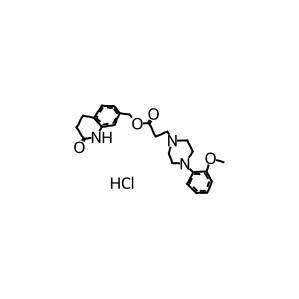 COc1ccccc1N1CCN(CCC(=O)OCc2ccc3c(c2)NC(=O)CC3)CC1.Cl